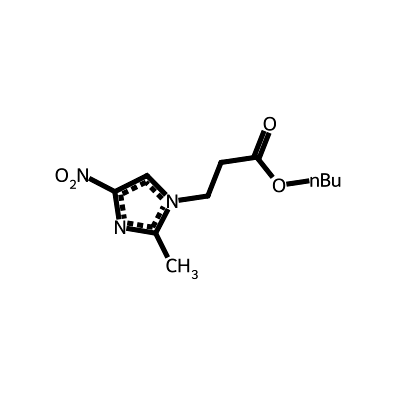 CCCCOC(=O)CCn1cc([N+](=O)[O-])nc1C